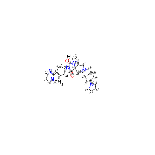 CCN1C(=O)N(c2ccc(C3=NC=CCN3C)cc2)C(=O)C12CCN(Cc1ccc(N3CCCC3)cc1)CC2